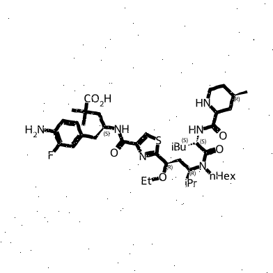 CCCCCCN(C(=O)[C@@H](NC(=O)C1C[C@H](C)CCN1)[C@@H](C)CC)[C@H](C[C@@H](OCC)c1nc(C(=O)N[C@@H](Cc2ccc(N)c(F)c2)CC(C)(C)C(=O)O)cs1)C(C)C